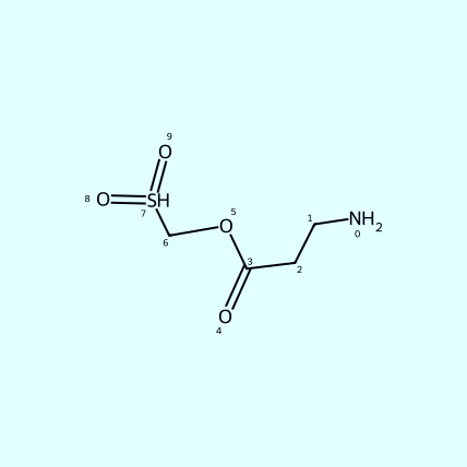 NCCC(=O)OC[SH](=O)=O